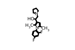 Cc1cc(C(O)CN2CCCC2)c(C)n1-c1ccc(F)cc1F